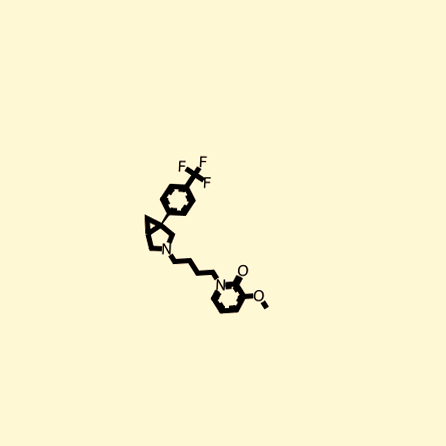 COc1cccn(CCCCN2CC3C[C@]3(c3ccc(C(F)(F)F)cc3)C2)c1=O